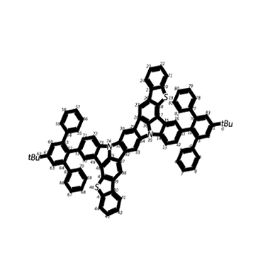 CC(C)(C)c1cc(-c2ccccc2)c(-c2ccc3c(c2)c2c4sc5ccccc5c4cc4c5cc6c(cc5n3c42)c2cc3c4ccccc4sc3c3c4cc(-c5c(-c7ccccc7)cc(C(C)(C)C)cc5-c5ccccc5)ccc4n6c23)c(-c2ccccc2)c1